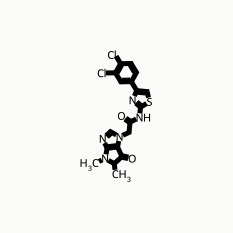 CC1C(=O)c2c(ncn2CC(=O)Nc2nc(-c3ccc(Cl)c(Cl)c3)cs2)N1C